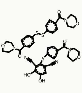 N#Cc1cc(O)c(O)c(C#N)c1Sc1ccc(C(=O)N2CCOCC2)cc1.O=C(c1ccc(SSc2ccc(C(=O)N3CCOCC3)cc2)cc1)N1CCOCC1